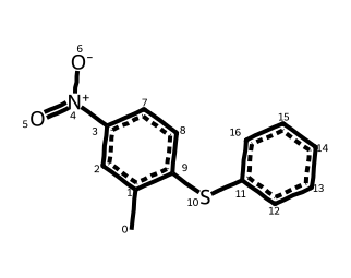 Cc1cc([N+](=O)[O-])ccc1Sc1ccccc1